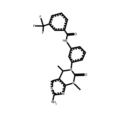 CC1c2cnc(N)nc2N(C)C(=O)N1c1cccc(NC(=O)c2cccc(C(F)(F)F)c2)c1